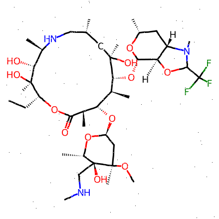 CC[C@H]1OC(=O)[C@H](C)[C@@H](O[C@H]2C[C@@](C)(OC)[C@](O)(CNC)[C@H](C)O2)[C@H](C)[C@@H](O[C@@H]2O[C@H](C)C[C@H]3[C@H]2OC(C(F)(F)F)N3C)[C@](C)(O)C[C@@H](C)CN[C@H](C)[C@@H](O)[C@]1(C)O